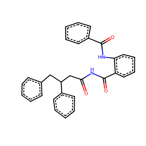 O=C(CC(Cc1ccccc1)c1ccccc1)NC(=O)c1ccccc1NC(=O)c1ccccc1